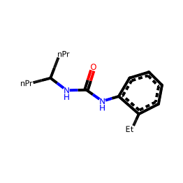 CCCC(CCC)NC(=O)Nc1ccccc1CC